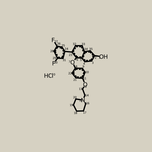 Cl.Oc1ccc2c(Oc3ccc(OCCN4CCCCC4)cc3)c(-c3cc(F)cc(F)c3)ccc2c1